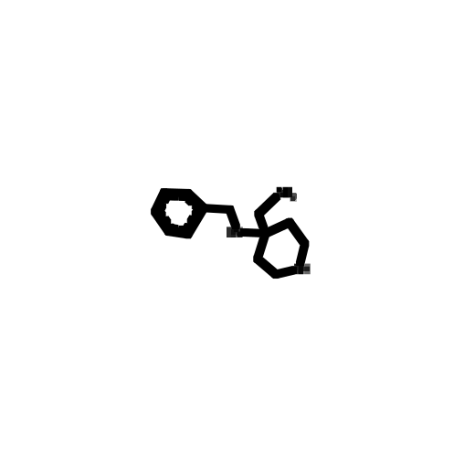 NCC1(NCc2ccccc2)CCNCC1